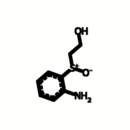 Nc1ccccc1[S+]([O-])CCO